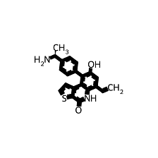 C=Cc1cc(O)c(-c2ccc([C@@H](C)N)cc2)c2c1[nH]c(=O)c1sccc12